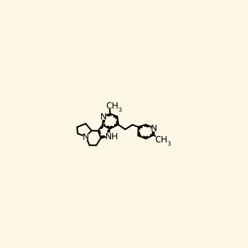 Cc1ccc(CCc2cc(C)nc3c4c([nH]c23)CCN2CCCC42)cn1